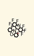 Fc1c(F)c(F)c2c(N3c4ccccc4Oc4ccccc43)c3c(F)c(F)c(F)c(F)c3nc2c1F